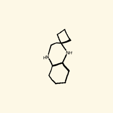 C1CCC2NC3(CCC3)CNC2C1